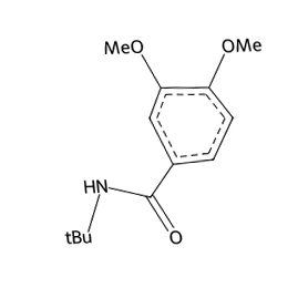 COc1ccc(C(=O)NC(C)(C)C)cc1OC